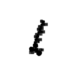 CC(=O)N(O)CNC(=O)CC(=O)N(O)CNC(=O)CC(=O)N(O)CNCc1ccc(-n2nc(-c3ccccc3O)nc2-c2ccccc2O)cc1